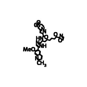 COc1cc2nc(C)ccc2cc1-c1cnc(C(CCCCCC(=O)c2ncco2)NC(=O)c2cc3n(n2)CCS(=O)(=O)C3)[nH]1